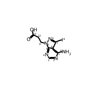 Nc1ncnc2c1c(I)nn2CCC(=O)O